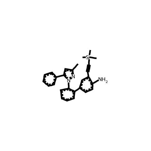 Cc1cc(-c2ccccc2)n(-c2ccccc2-c2ccc(N)c(C#C[Si](C)(C)C)c2)n1